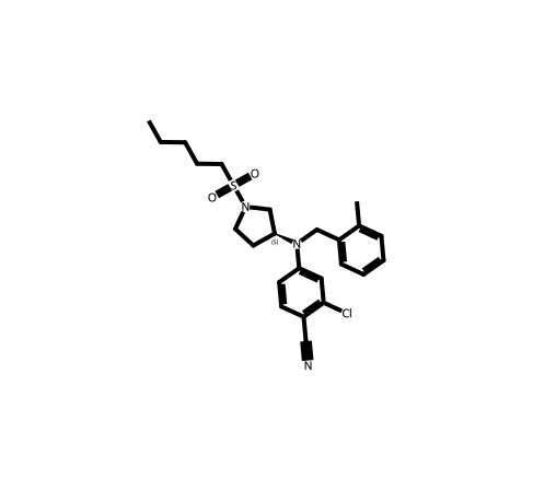 CCCCCS(=O)(=O)N1CC[C@H](N(Cc2ccccc2C)c2ccc(C#N)c(Cl)c2)C1